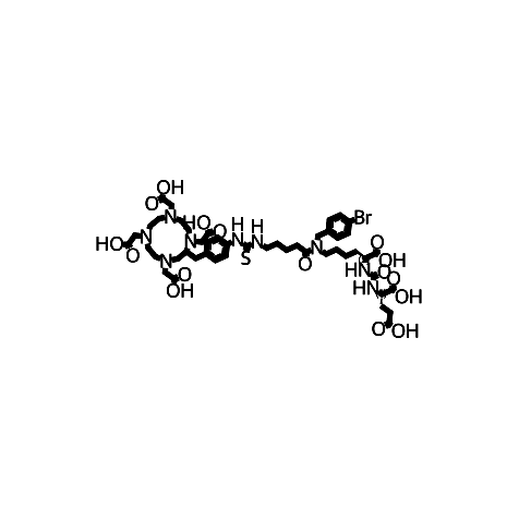 O=C(O)CC[C@H](NC(=O)N[C@@H](CCCCN(Cc1ccc(Br)cc1)C(=O)CCCCNC(=S)Nc1ccc(CC2CN(CC(=O)O)CCN(CC(=O)O)CCN(CC(=O)O)CCN2CC(=O)O)cc1)C(=O)O)C(=O)O